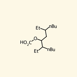 CCCCC(CC)CC(OC(=O)O)C(CC)CCCC